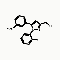 COc1cccc(-c2cc(CO)nn2-c2ccccc2C)c1